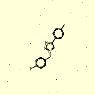 Cc1ccc(-c2cn(Cc3ccc(F)cc3)nn2)cc1